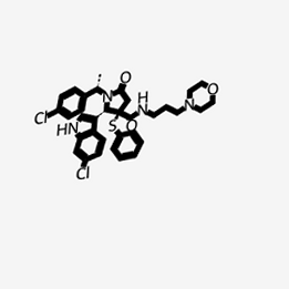 C[C@@H](c1ccc(Cl)cc1)N1C(=O)C[C@](Sc2ccccc2)(C(=O)NCCCN2CCOCC2)[C@@H]1c1c[nH]c2cc(Cl)ccc12